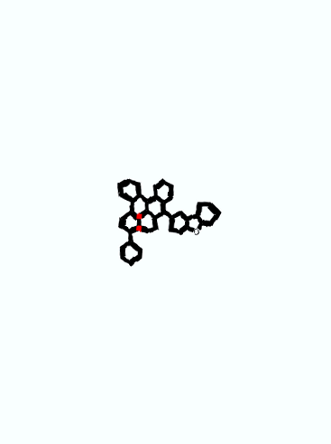 c1ccc(-c2ccc(-c3ccccc3-c3c4ccccc4c(-c4ccc5oc6ccccc6c5c4)c4ccccc34)cc2)cc1